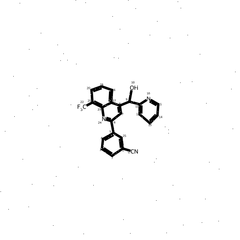 N#Cc1cccc(-c2cc(C(O)c3ccccn3)c3cccc(C(F)(F)F)c3n2)c1